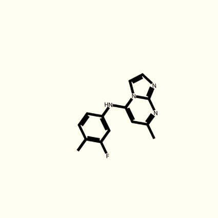 Cc1cc(Nc2ccc(C)c(F)c2)n2ccnc2n1